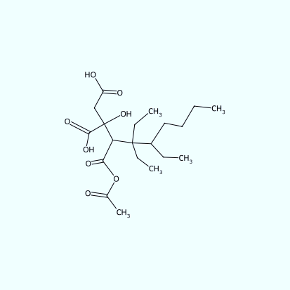 CCCCC(CC)C(CC)(CC)C(C(=O)OC(C)=O)C(O)(CC(=O)O)C(=O)O